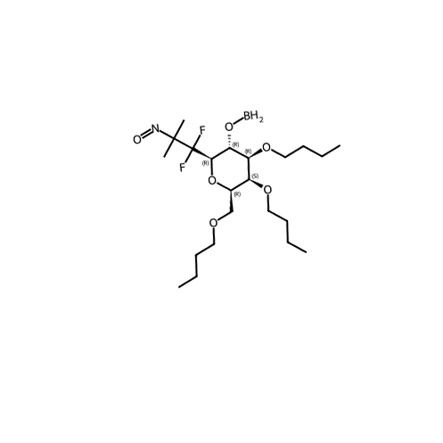 BO[C@@H]1[C@@H](OCCCC)[C@@H](OCCCC)[C@@H](COCCCC)O[C@H]1C(F)(F)C(C)(C)N=O